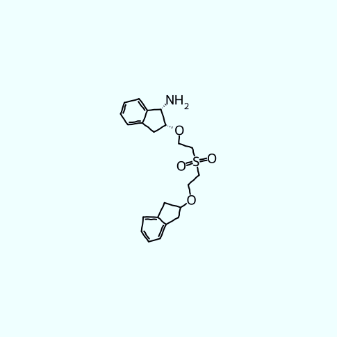 N[C@H]1c2ccccc2C[C@H]1OCCS(=O)(=O)CCOC1Cc2ccccc2C1